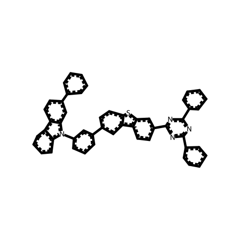 c1ccc(-c2ccc3c4ccccc4n(-c4cccc(-c5ccc6sc7cc(-c8nc(-c9ccccc9)nc(-c9ccccc9)n8)ccc7c6c5)c4)c3c2)cc1